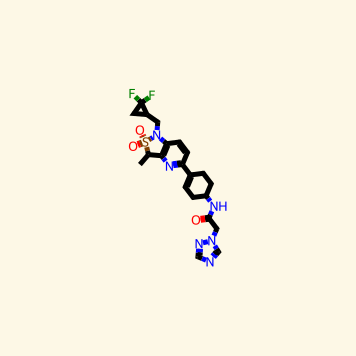 CC1c2nc(C3=CCC(NC(=O)Cn4cncn4)CC3)ccc2N(CC2CC2(F)F)S1(=O)=O